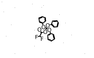 O=C(OC(Oc1ccccc1)(Oc1ccccc1)Oc1ccccc1)C(F)F